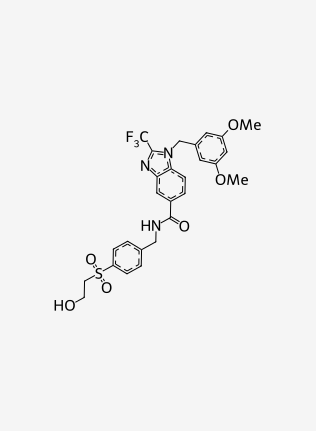 COc1cc(Cn2c(C(F)(F)F)nc3cc(C(=O)NCc4ccc(S(=O)(=O)CCO)cc4)ccc32)cc(OC)c1